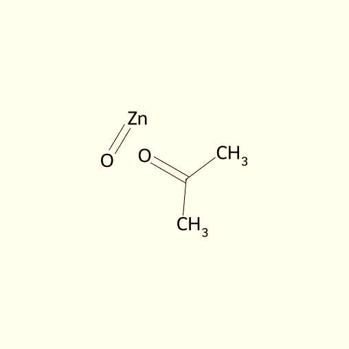 CC(C)=O.[O]=[Zn]